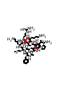 CSCC[C@H](NC(=O)[C@H](Cc1c[nH]c2ccccc12)NC(=O)[C@H](Cc1ccccc1)NC(C)=O)C(=O)N[C@@H](CCCCN)C(=O)N[C@@H](CCCNC(=N)N)C(=O)N[C@@H](CCCCN)C(=O)N[C@@H](CCCNC(=N)N)C(=O)N[C@H](C(=O)N1CCC[C@H]1C(N)=O)C(C)C